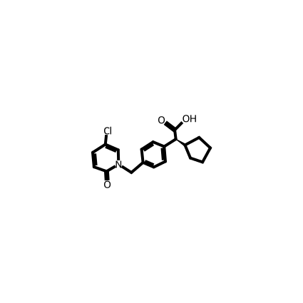 O=C(O)[C@H](c1ccc(Cn2cc(Cl)ccc2=O)cc1)C1CCCC1